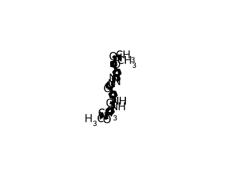 CN(C)C(=O)c1ccc(NC(=O)Nc2ccc(C3CN(c4ncc5ccc(-c6ccc(C(=O)N(C)C)o6)cc5n4)CCO3)cc2)cc1